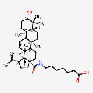 C=C(C)[C@@H]1CC[C@]2(C(=O)NCCCCCCC(=O)O)CC[C@]3(C)[C@H](CCC4[C@@]5(C)CC[C@H](O)C(C)(C)[C@@H]5CC[C@]43C)[C@@H]12